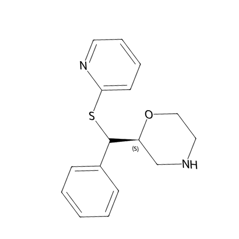 c1ccc(C(Sc2ccccn2)[C@@H]2CNCCO2)cc1